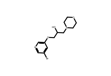 OC(COc1cncc(Br)c1)CN1CCOCC1